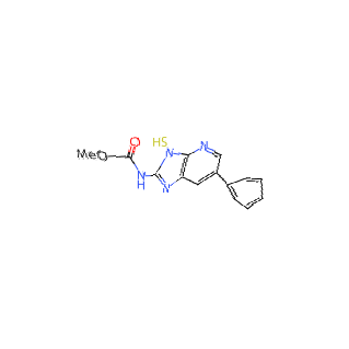 COC(=O)Nc1nc2cc(-c3ccccc3)cnc2n1S